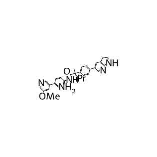 C=C(/C=C\C(=C/N)c1cncc(OC)c1)NC(=O)C(C)(c1ccc(-c2cnc3c(c2)CCN3)cc1)C(C)C